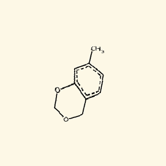 Cc1ccc2c(c1)OCOC2